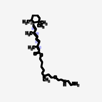 CC(/C=C/[C@@H]1C(C)CCCC1(C)C)=C\C=C\C(C)=C\C(=O)OCCCCCN(C)CCOCCNCCN